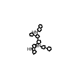 c1ccc(-c2ccc(Nc3ccc(-c4ccc(Nc5ccc6ccccc6c5)c(-c5ccccc5)c4)cc3-c3ccc4[nH]c5ccccc5c4c3)cc2)cc1